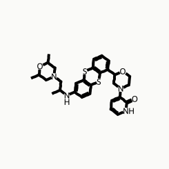 CC(CN1CC(C)OC(C)C1)Nc1ccc2c(c1)Sc1cccc(C3CN(c4ccc[nH]c4=O)CCO3)c1S2